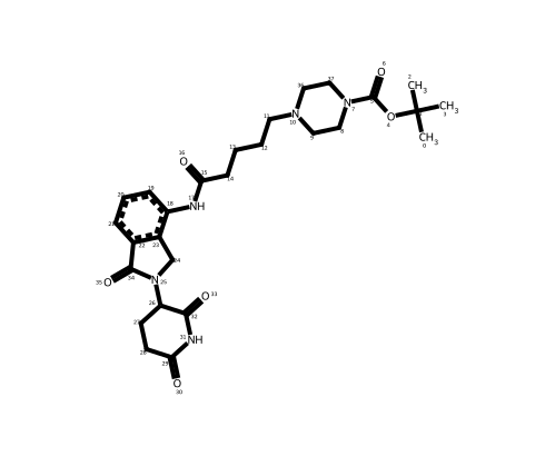 CC(C)(C)OC(=O)N1CCN(CCCCC(=O)Nc2cccc3c2CN(C2CCC(=O)NC2=O)C3=O)CC1